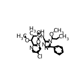 CCC(OC)n1c(NS(=O)(=O)[C@@H](C)[C@H](OC)c2ncc(Cl)cn2)nnc1-c1ccccc1